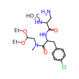 CCOC(CN(C)C(=O)C(Cc1ccc(Cl)cc1)NC(=O)C(CN)NC(=O)O)OCC